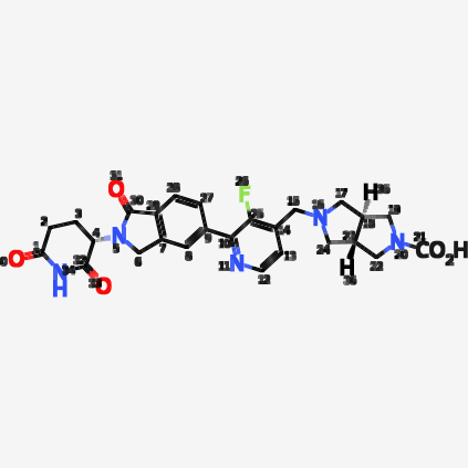 O=C1CC[C@H](N2Cc3cc(-c4nccc(CN5C[C@H]6CN(C(=O)O)C[C@@H]6C5)c4F)ccc3C2=O)C(=O)N1